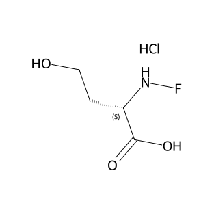 Cl.O=C(O)[C@H](CCO)NF